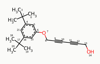 CC(C)(C)c1cc(OCC#CC#CCO)cc(C(C)(C)C)c1